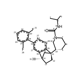 CC(C)NC(=O)N1CCC[C@H]([C@]23CC[C@H](C2)c2cc(-c4c(F)cccc4F)nnc23)C1